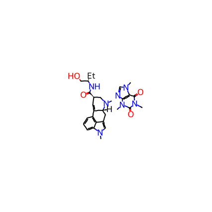 CC[C@@H](CO)NC(=O)[C@@H]1C=C2c3cccc4c3c(cn4C)C[C@H]2N(C)C1.Cn1c(=O)c2c(ncn2C)n(C)c1=O